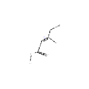 CCOC(=O)/C=C(\C)CI